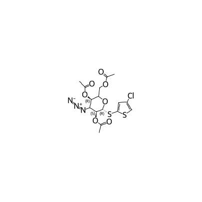 CC(=O)OCC1O[C@H](Sc2cc(Cl)cs2)[C@@H](OC(C)=O)C(N=[N+]=[N-])[C@H]1OC(C)=O